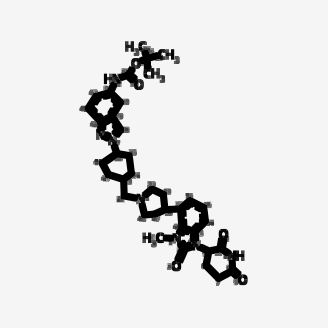 Cn1c(=O)n(C2CCC(=O)NC2=O)c2cccc(C3CCN(CC4CCC(n5cc6cc(NC(=O)OC(C)(C)C)ccc6n5)CC4)CC3)c21